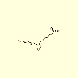 CCC=CCOC[C@@H]1COC[C@@H]1CC=CCC=CC(=O)O